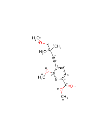 COCC(C)(C)C#Cc1ccc(C(=O)OC)cc1OC